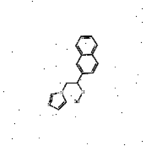 CCC(C)OC(Cn1ccnc1)c1ccc2ccccc2c1